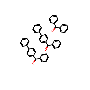 O=C(c1ccccc1)c1ccc(-c2ccccc2)cc1.O=C(c1ccccc1)c1ccc(-c2ccccc2)cc1.O=C(c1ccccc1)c1ccccc1